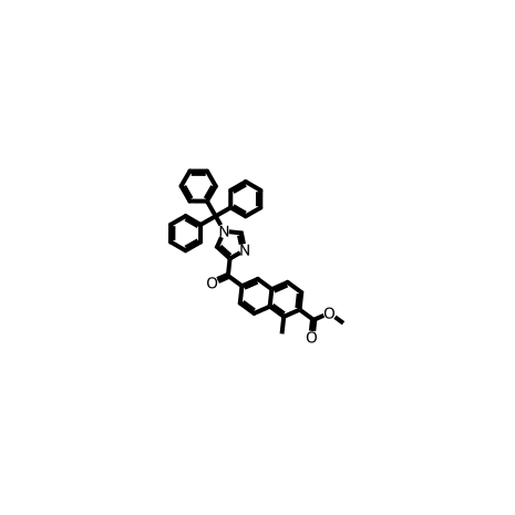 COC(=O)c1ccc2cc(C(=O)c3cn(C(c4ccccc4)(c4ccccc4)c4ccccc4)cn3)ccc2c1C